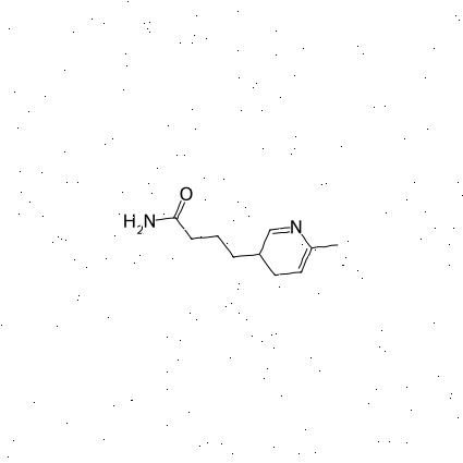 CC1=CCC(CCCC(N)=O)C=N1